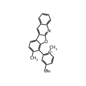 Cc1ccc2c(oc3nc4ccccc4cc32)c1-c1cc(C(C)(C)C)cc[n+]1C